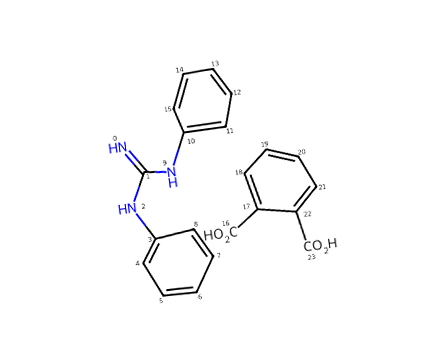 N=C(Nc1ccccc1)Nc1ccccc1.O=C(O)c1ccccc1C(=O)O